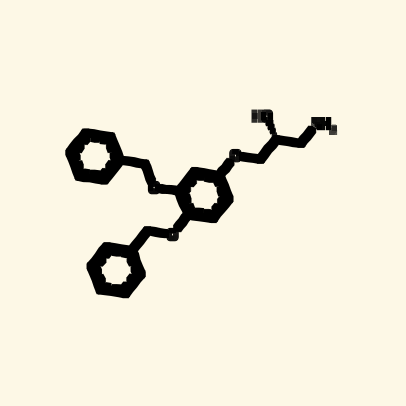 NC[C@@H](O)COc1ccc(OCc2ccccc2)c(OCc2ccccc2)c1